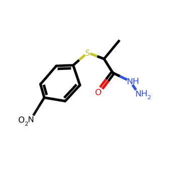 CC(Sc1ccc([N+](=O)[O-])cc1)C(=O)NN